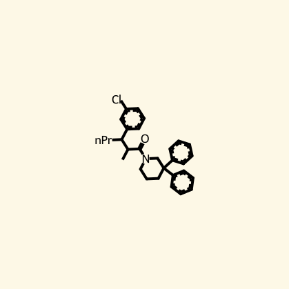 CCCC(c1cccc(Cl)c1)C(C)C(=O)N1CCCC(c2ccccc2)(c2ccccc2)C1